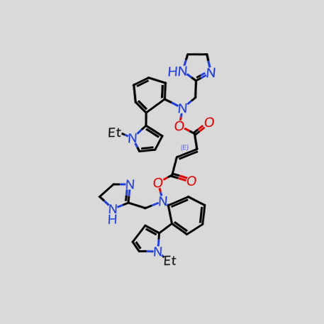 CCn1cccc1-c1ccccc1N(CC1=NCCN1)OC(=O)/C=C/C(=O)ON(CC1=NCCN1)c1ccccc1-c1cccn1CC